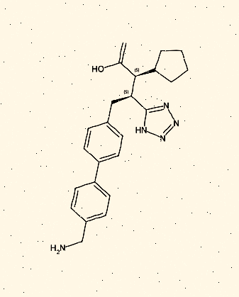 C=C(O)[C@@H](C1CCCC1)[C@H](Cc1ccc(-c2ccc(CN)cc2)cc1)c1nnn[nH]1